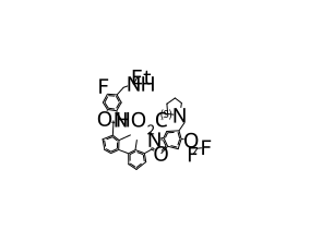 CCNCc1cc2nc(-c3cccc(-c4cccc(-c5nc6cc(CN7CCC[C@H]7C(=O)O)c(OC(F)F)cc6o5)c4C)c3C)oc2cc1F